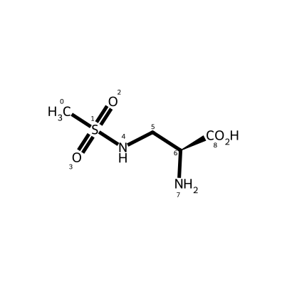 CS(=O)(=O)NC[C@H](N)C(=O)O